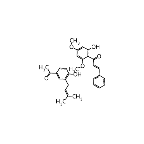 CC(=O)c1ccc(O)c(CC=C(C)C)c1.COc1cc(O)c(C(=O)C=Cc2ccccc2)c(OC)c1